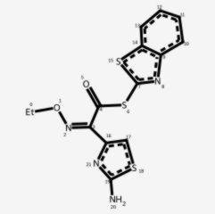 CCO/N=C(\C(=O)Sc1nc2ccccc2s1)c1csc(N)n1